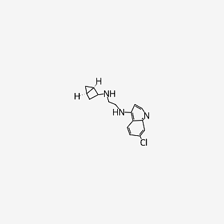 Clc1ccc2c(NCCNC3C[C@H]4C[C@@H]34)ccnc2c1